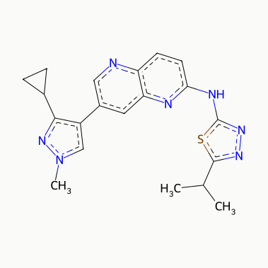 CC(C)c1nnc(Nc2ccc3ncc(-c4cn(C)nc4C4CC4)cc3n2)s1